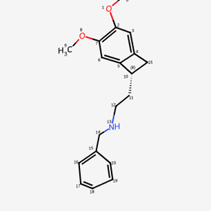 COc1cc2c(cc1OC)[C@@H](CCNCc1ccccc1)C2